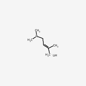 [CH2]C(C)=CCN(C)C.[LiH]